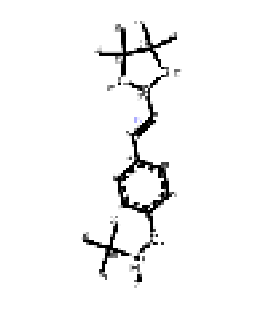 C[SiH](Oc1ccc(/C=C/B2OC(C)(C)C(C)(C)O2)cc1)C(C)(C)C